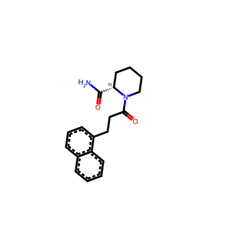 NC(=O)[C@@H]1CCCCN1C(=O)CCc1cccc2ccccc12